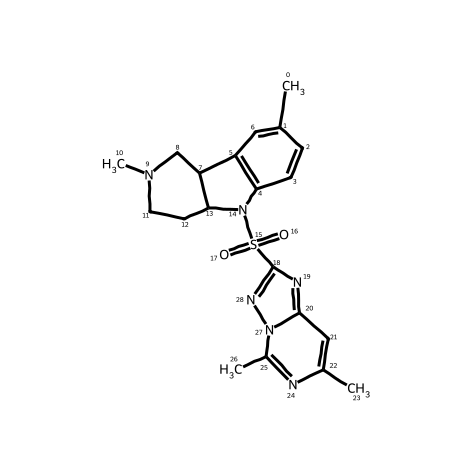 Cc1ccc2c(c1)C1CN(C)CCC1N2S(=O)(=O)c1nc2cc(C)nc(C)n2n1